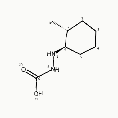 C[C@@H]1CCCC[C@H]1NNC(=O)O